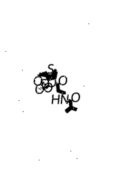 C=C(C)C(=O)NCCC(=O)OC1C2CC3C(S2)C1OS3(=O)=O